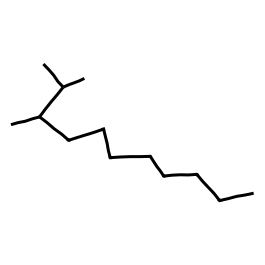 CCCCCCCCC(C)C(C)C